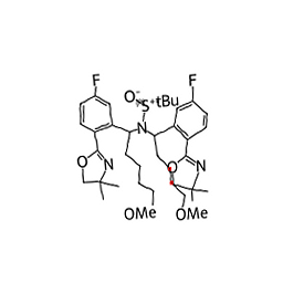 COCCCCC(c1cc(F)ccc1C1=NC(C)(C)CO1)N(C(CCCCOC)c1cc(F)ccc1C1=NC(C)(C)CO1)[S@@+]([O-])C(C)(C)C